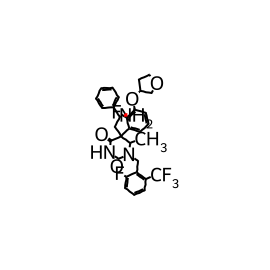 CC1N(Cc2c(F)cccc2C(F)(F)F)C(=O)NC(=O)C1(C[C@@H](N)c1ccccc1)c1cccc(O[C@H]2CCOC2)c1F